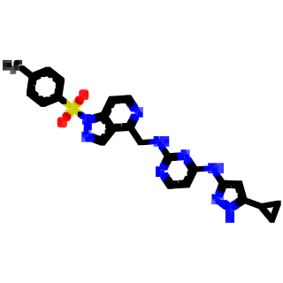 Cc1ccc(S(=O)(=O)n2ncc3c(CNc4nccc(Nc5cc(C6CC6)[nH]n5)n4)nccc32)cc1